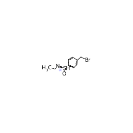 CC/N=[SH](=O)/c1ccc(CBr)cc1